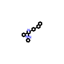 c1ccc2cc(-c3ccc(-c4cc5c(cn4)c4ccccc4n4c6ccccc6nc54)cc3)ccc2c1